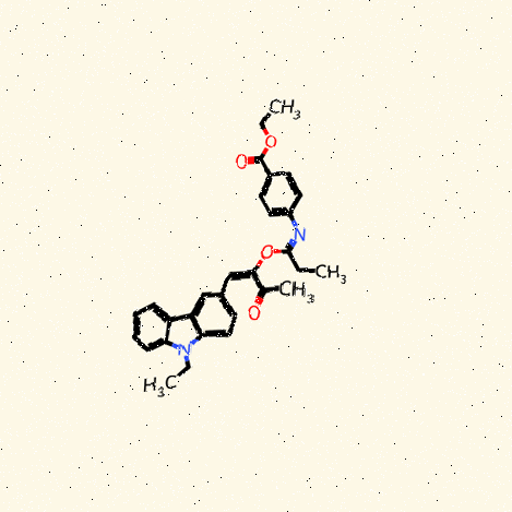 CCOC(=O)c1ccc(/N=C(/CC)O/C(=C/c2ccc3c(c2)c2ccccc2n3CC)C(C)=O)cc1